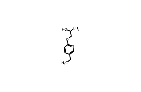 CCc1ccc(OCC(C)O)nc1